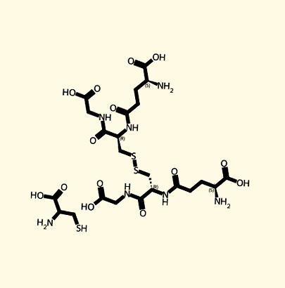 NC(CS)C(=O)O.N[C@@H](CCC(=O)N[C@@H](CSSC[C@H](NC(=O)CC[C@H](N)C(=O)O)C(=O)NCC(=O)O)C(=O)NCC(=O)O)C(=O)O